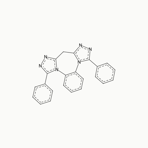 c1ccc(-c2nnc3n2-c2ccccc2-n2c(nnc2-c2ccccc2)C3)cc1